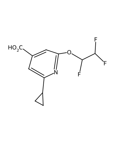 O=C(O)c1cc(OC(F)C(F)F)nc(C2CC2)c1